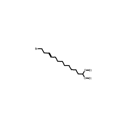 CCOC(CCCCCCCC/C=C/CCBr)OCC